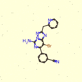 N#Cc1cccc(-c2nc(N)n3nc(Cc4ccccn4)nc3c2Br)c1